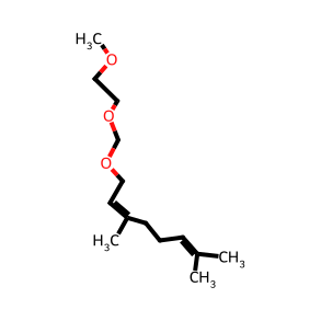 COCCOCOCC=C(C)CCC=C(C)C